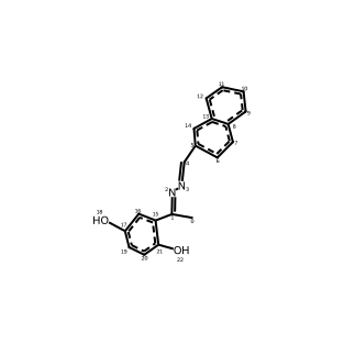 C/C(=N\N=C\c1ccc2ccccc2c1)c1cc(O)ccc1O